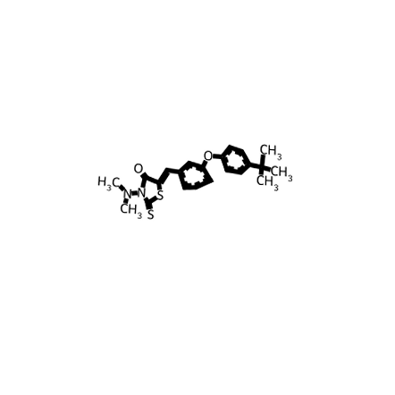 CN(C)N1C(=O)/C(=C/c2cccc(Oc3ccc(C(C)(C)C)cc3)c2)SC1=S